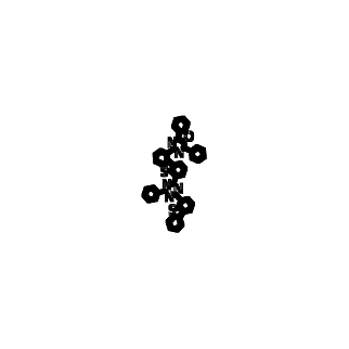 c1ccc(-c2nc(-c3cccc4c3sc3ccccc34)nc(-c3cccc4c3sc3cccc(-c5nc(-c6ccccc6)c6oc7ccccc7c6n5)c34)n2)cc1